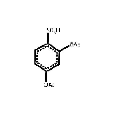 CC(=O)Oc1ccc(S(=O)(=O)O)c(OC(C)=O)c1